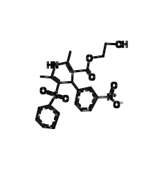 CC1=C(C(=O)OCCO)C(c2cccc([N+](=O)[O-])c2)C(S(=O)(=O)c2ccccc2)=C(C)N1